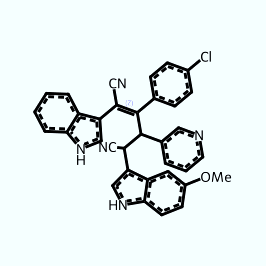 COc1ccc2[nH]cc(C(C#N)C(/C(=C(/C#N)c3c[nH]c4ccccc34)c3ccc(Cl)cc3)c3cccnc3)c2c1